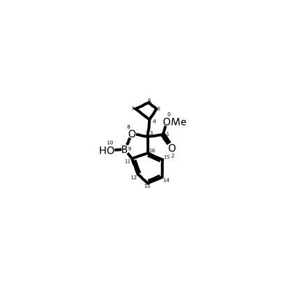 COC(=O)C1(C2CCC2)OB(O)c2ccccc21